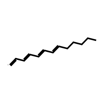 [CH]=CC=CC=CC=CCCCCC